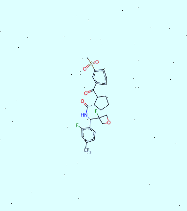 CS(=O)(=O)c1cccc(C(=O)C2CCC[C@@H]2C(=O)N[C@@H](c2ccc(C(F)(F)F)cc2F)C2(F)COC2)c1